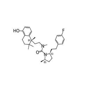 C[C@@H]1CC[C@H](CCc2ccc(F)cc2)N1C(=O)N(C)CC[C@@]1(C)c2cccc(O)c2CCC1(C)C